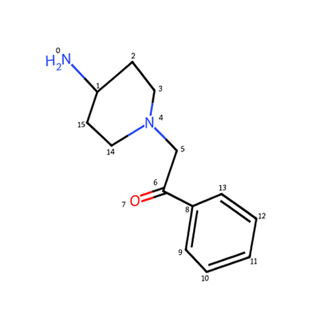 NC1CCN(CC(=O)c2ccccc2)CC1